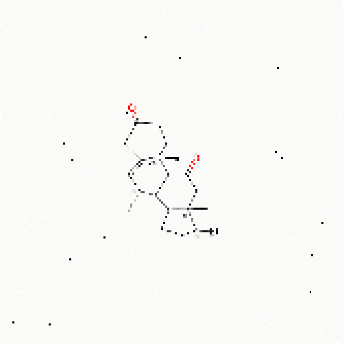 CC[C@H]1CCC2C3C(C(=O)C[C@@]21C)[C@@]1(C)CCC(=O)CC1=C[C@H]3C